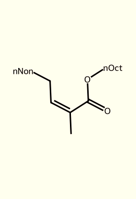 CCCCCCCCCCC=C(C)C(=O)OCCCCCCCC